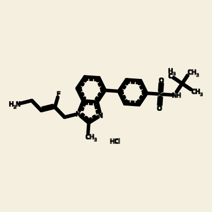 Cc1nc2c(-c3ccc(S(=O)(=O)NC(C)(C)C)cc3)cccc2n1CC(F)=CCN.Cl